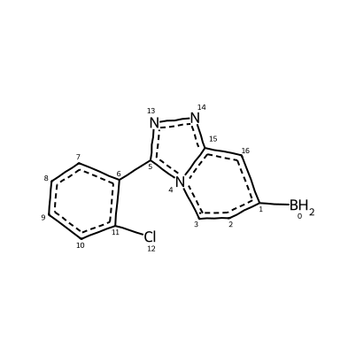 Bc1ccn2c(-c3ccccc3Cl)nnc2c1